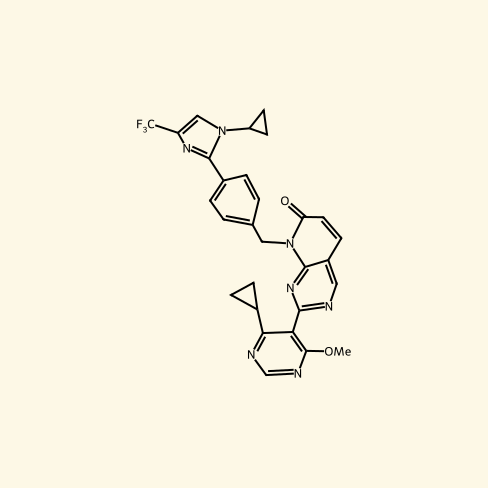 COc1ncnc(C2CC2)c1-c1ncc2ccc(=O)n(Cc3ccc(-c4nc(C(F)(F)F)cn4C4CC4)cc3)c2n1